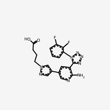 Nc1ncc(-c2cnn(CCCC(=O)O)c2)cc1-c1nnnn1-c1cccc(F)c1F